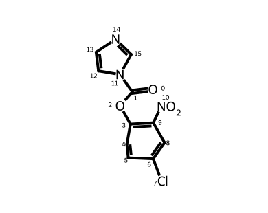 O=C(Oc1ccc(Cl)cc1[N+](=O)[O-])n1ccnc1